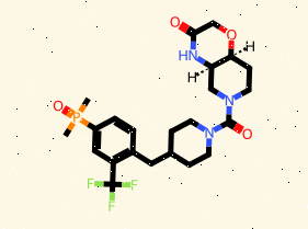 CP(C)(=O)c1ccc(CC2CCN(C(=O)N3CC[C@@H]4OCC(=O)N[C@@H]4C3)CC2)c(C(F)(F)F)c1